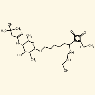 CNc1c(C(CCCCCO[C@@H]2OC(C)[C@@H](NC(=O)CC(C)(C)O)[C@H](O)C2C)NCNCO)c(=O)c1=O